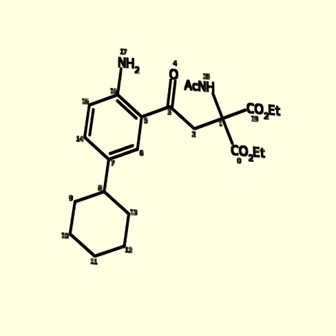 CCOC(=O)C(CC(=O)c1cc(C2CCCCC2)ccc1N)(NC(C)=O)C(=O)OCC